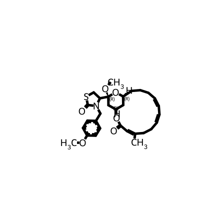 COc1ccc(CN2C(=O)SCC2[C@@]2(OC)C[C@H]3C[C@@H](CCCC=CC=CCCC(C)=CC(=O)O3)O2)cc1